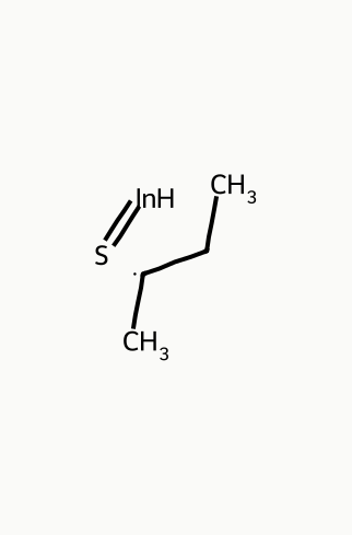 C[CH]CC.[S]=[InH]